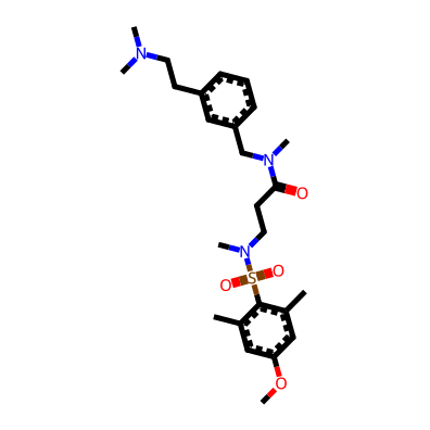 COc1cc(C)c(S(=O)(=O)N(C)CCC(=O)N(C)Cc2cccc(CCN(C)C)c2)c(C)c1